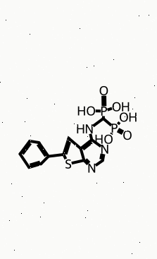 O=P(O)(O)C(Nc1ncnc2sc(-c3ccccc3)cc12)P(=O)(O)O